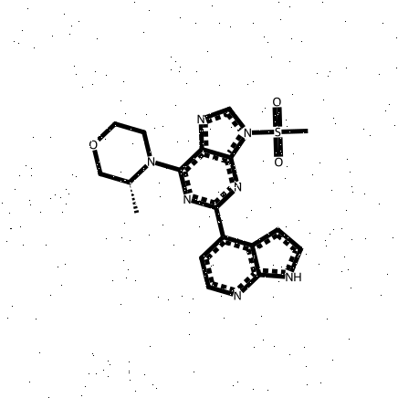 C[C@@H]1COCCN1c1nc(-c2ccnc3[nH]ccc23)nc2c1ncn2S(C)(=O)=O